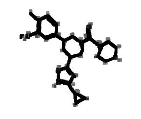 Cc1ccc(C2CC(c3nc(C4CC4)no3)CN(C(=O)N3CCOCC3)C2)cc1C(F)(F)F